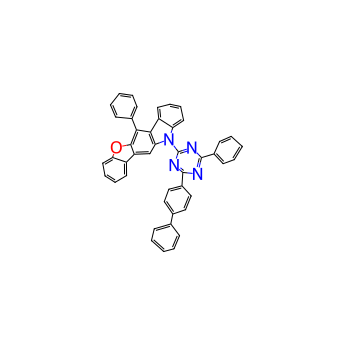 c1ccc(-c2ccc(-c3nc(-c4ccccc4)nc(-n4c5ccccc5c5c(-c6ccccc6)c6oc7ccccc7c6cc54)n3)cc2)cc1